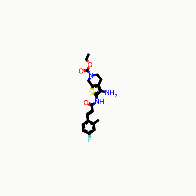 CCOC(=O)N1CCc2c(sc(NC(=O)/C=C/c3ccc(F)cc3C)c2N)C1